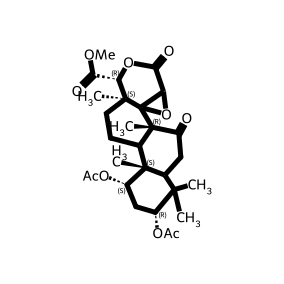 COC(=O)[C@@H]1OC(=O)C2OC23[C@@]1(C)CCC1[C@]2(C)C(CC(=O)[C@]13C)C(C)(C)[C@H](OC(C)=O)C[C@@H]2OC(C)=O